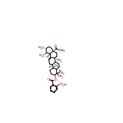 COC(=O)[C@]12CC[C@@H](C)[C@H](C)[C@H]1C1=CC[C@H]3C(CC[C@H]4C(C)(C)[C@@H](OC(=O)c5ccccc5C(=O)O)CC[C@]34C)[C@]1(C)CC2